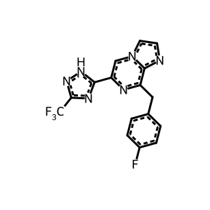 Fc1ccc(Cc2nc(-c3nc(C(F)(F)F)n[nH]3)cn3ccnc23)cc1